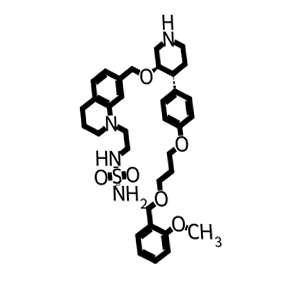 COc1ccccc1COCCCOc1ccc([C@H]2CCNC[C@@H]2OCc2ccc3c(c2)N(CCNS(N)(=O)=O)CCC3)cc1